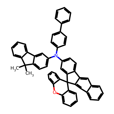 CC1(C)c2ccccc2-c2cc(N(c3ccc(-c4ccccc4)cc3)c3ccc4c(c3)C3(c5ccccc5Oc5ccccc53)c3cc5ccccc5cc3-4)ccc21